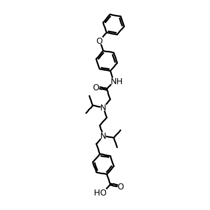 CC(C)N(CCN(Cc1ccc(C(=O)O)cc1)C(C)C)CC(=O)Nc1ccc(Oc2ccccc2)cc1